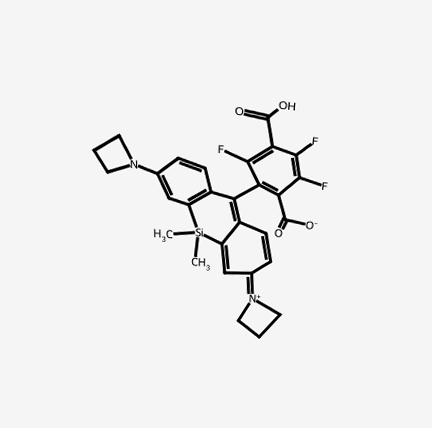 C[Si]1(C)C2=CC(=[N+]3CCC3)C=CC2=C(c2c(F)c(C(=O)O)c(F)c(F)c2C(=O)[O-])c2ccc(N3CCC3)cc21